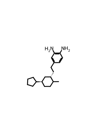 CC1CC[C@@H](C2CCCC2)C[C@@H]1CCc1ccc(N)c(N)c1